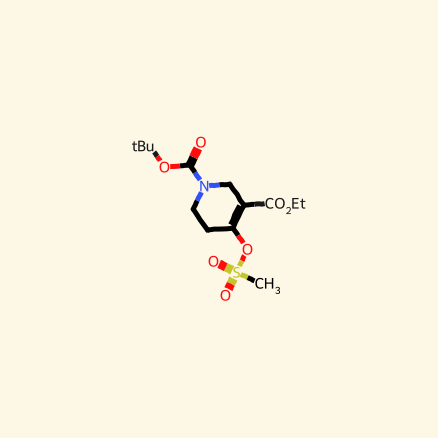 CCOC(=O)C1=C(OS(C)(=O)=O)CCN(C(=O)OC(C)(C)C)C1